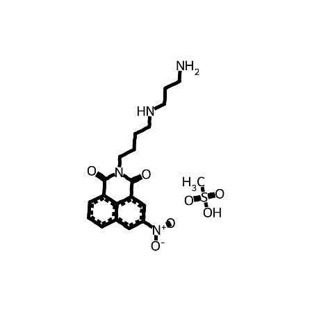 CS(=O)(=O)O.NCCCNCCCCN1C(=O)c2cccc3cc([N+](=O)[O-])cc(c23)C1=O